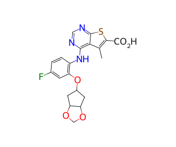 Cc1c(C(=O)O)sc2ncnc(Nc3ccc(F)cc3OC3CC4OCOC4C3)c12